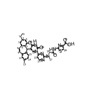 CCc1ccc2c(c1)C=Cc1cc(C)ccc1C2c1cn(-c2ccnc(N(C)CC(=O)Nc3nc(C(=O)O)cs3)n2)c(=O)[nH]c1=O